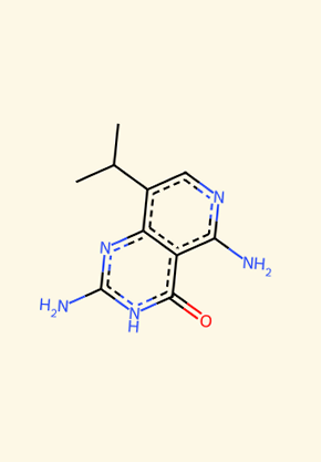 CC(C)c1cnc(N)c2c(=O)[nH]c(N)nc12